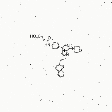 O=C(O)CCC(=O)Nc1ccc(-c2cnc(N3CCOCC3)c3nc(C=Cc4ccc5ccccc5n4)cn23)cc1